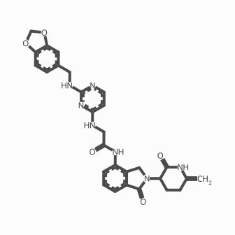 C=C1CCC(N2Cc3c(NC(=O)CNc4ccnc(NCc5ccc6c(c5)OCO6)n4)cccc3C2=O)C(=O)N1